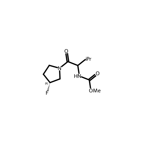 COC(=O)NC(C(=O)N1CC[C@@H](F)C1)C(C)C